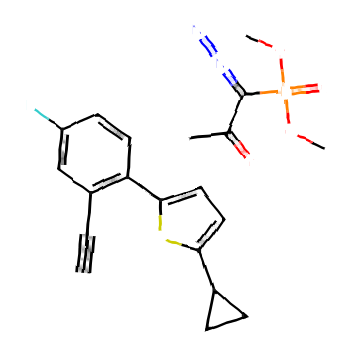 C#Cc1cc(F)ccc1-c1ccc(C2CC2)s1.COP(=O)(OC)C(=[N+]=[N-])C(C)=O